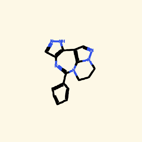 c1ccc(C2=Nc3cn[nH]c3-c3cnn4c3N2CCC4)cc1